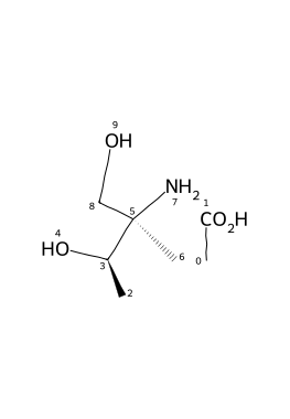 CC(=O)O.C[C@@H](O)[C@](C)(N)CO